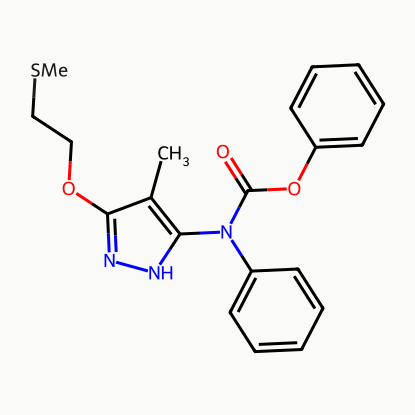 CSCCOc1n[nH]c(N(C(=O)Oc2ccccc2)c2ccccc2)c1C